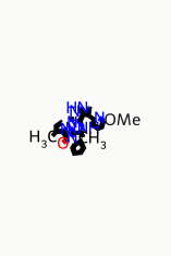 COc1cccc(-c2c[nH]c3ncnc(NC(C)c4nn5ccc(C)c5c(=O)n4-c4ccccc4)c23)n1